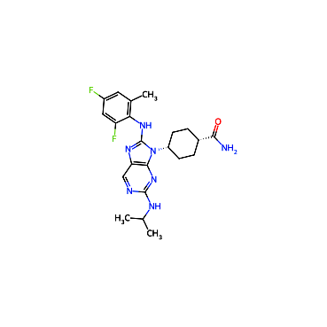 Cc1cc(F)cc(F)c1Nc1nc2cnc(NC(C)C)nc2n1[C@H]1CC[C@@H](C(N)=O)CC1